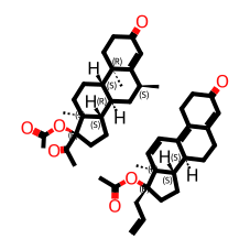 C=CC[C@]1(OC(C)=O)CC[C@H]2[C@@H]3CCC4=CC(=O)CCC4=C3C=C[C@@]21C.CC(=O)O[C@]1(C(C)=O)CC[C@H]2[C@@H]3C[C@H](C)C4=CC(=O)CC[C@]4(C)[C@H]3CC[C@@]21C